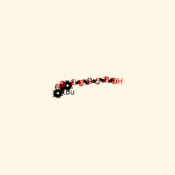 CC(C)(C)C1(c2ccc(OCCOCCOCCOCCOCCO)cc2)C(=O)Oc2ccccc21